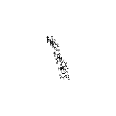 COc1ccccc1Cc1nc2ccc(-c3ccn([C@H]4CC[C@H](N5CCn6cc(C(F)(F)F)nc6C5)CC4)n3)cc2[nH]1